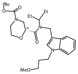 CCC(CC)N(Cc1cn(CCCOC)c2ccccc12)C(=O)[C@H]1CN(C(=O)OC(C)(C)C)CCO1